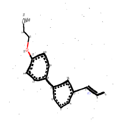 C/C=C/c1cccc(-c2ccc(OCCOC)cc2)c1